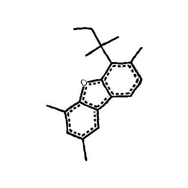 CCC(C)(C)c1c(C)ccc2c1oc1c(C)cc(C)cc12